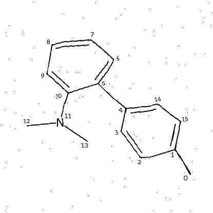 Cc1ccc(-c2ccccc2N(C)C)cc1